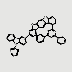 c1ccc(-c2nc(-c3ccccc3)nc(-c3cccc4oc5cc6oc7cc(-c8ccc9c(c8)c8ccccc8n9-c8ccccc8)ccc7c6cc5c34)n2)cc1